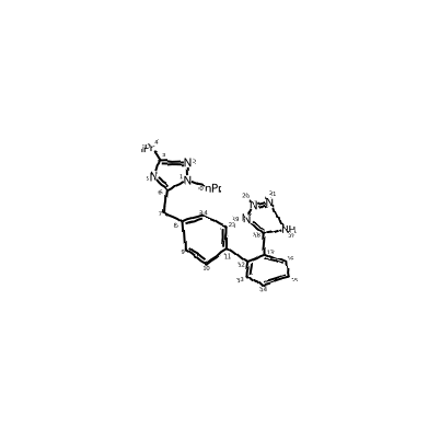 CCCn1nc(C(C)C)nc1Cc1ccc(-c2ccccc2-c2nnn[nH]2)cc1